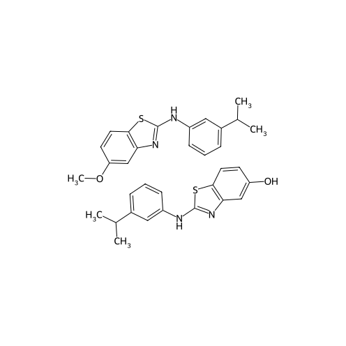 CC(C)c1cccc(Nc2nc3cc(O)ccc3s2)c1.COc1ccc2sc(Nc3cccc(C(C)C)c3)nc2c1